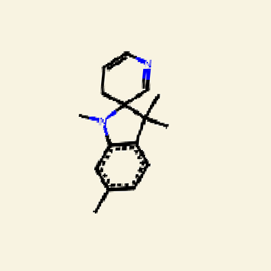 Cc1ccc2c(c1)N(C)C1(C=NC=CC1)C2(C)C